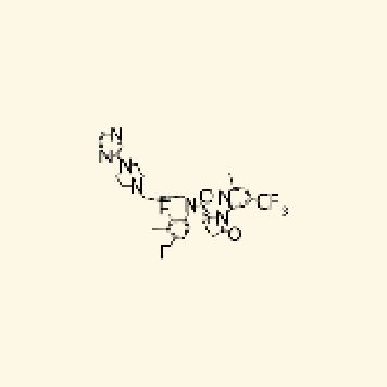 Cc1cc(C(F)(F)F)cc(N2C(=O)CC[C@H]2C(=O)N(CC#CCN2CCN(c3cnccn3)CC2)c2ccc(F)c(C)c2F)n1